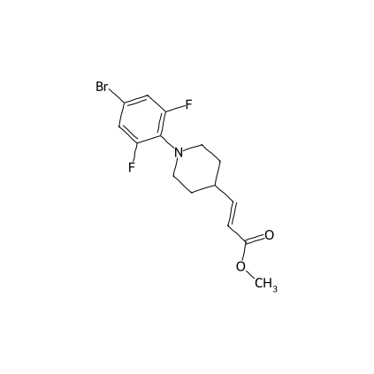 COC(=O)/C=C/C1CCN(c2c(F)cc(Br)cc2F)CC1